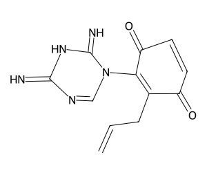 C=CCC1=C(n2cnc(=N)[nH]c2=N)C(=O)C=CC1=O